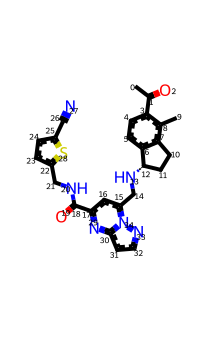 CC(=O)c1ccc2c(c1C)CC[C@@H]2NCc1cc(C(=O)NCc2ccc(C#N)s2)nc2ccnn12